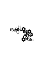 CC(C)(C)OC(=O)NCc1ccccc1CN([C@H](Cc1ccccc1)C(=O)OC(C)(C)C)S(=O)(=O)c1cccc2cccnc12